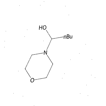 CCCCC(O)N1CCOCC1